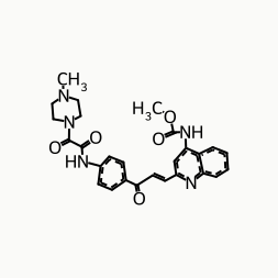 COC(=O)Nc1cc(C=CC(=O)c2ccc(NC(=O)C(=O)N3CCN(C)CC3)cc2)nc2ccccc12